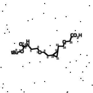 CC(C)(C)OC(=O)NCCOCCC1CC1CCOCC(=O)O